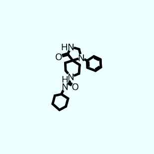 O=C(NC1CCCCC1)N1CCC2(CC1)C(=O)NCN2c1ccccc1